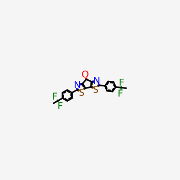 CC(F)(F)c1ccc(-c2nc3c(s2)-c2sc(-c4ccc(C(C)(F)F)cc4)nc2C3=O)cc1